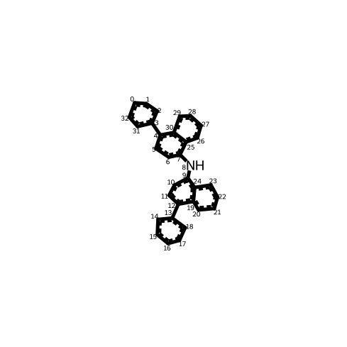 c1ccc(-c2ccc(Nc3ccc(-c4ccccc4)c4ccccc34)c3ccccc23)cc1